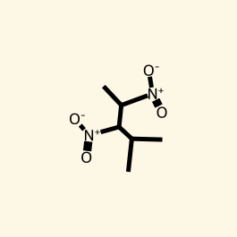 CC(C)C(C(C)[N+](=O)[O-])[N+](=O)[O-]